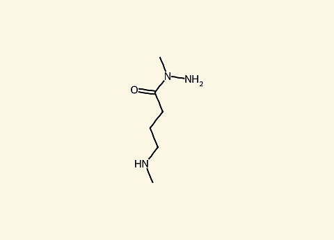 CNCCCC(=O)N(C)N